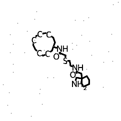 NCC1(CC(=O)NCCSCC(=O)NC2CCCCCCCCCCCCC2)CCCCC1